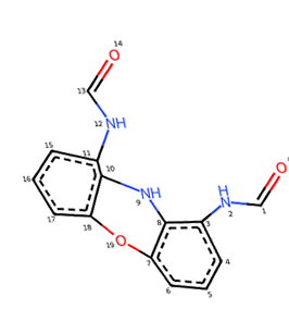 O=CNc1cccc2c1Nc1c(NC=O)cccc1O2